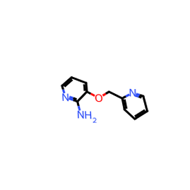 Nc1ncccc1OCc1ccccn1